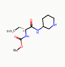 CCOC(=O)C[C@@H](NC(=O)OC(C)(C)C)C(=O)NC1CCCNC1